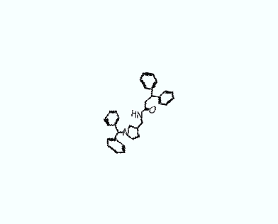 O=C(CC(c1ccccc1)c1ccccc1)NCC1CCN(C(c2ccccc2)c2ccccc2)C1